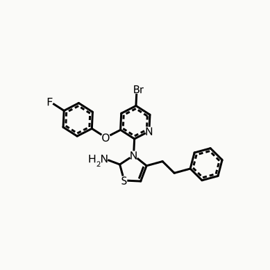 NC1SC=C(CCc2ccccc2)N1c1ncc(Br)cc1Oc1ccc(F)cc1